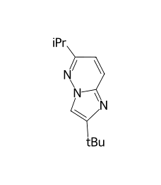 CC(C)c1ccc2nc(C(C)(C)C)cn2n1